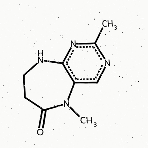 Cc1ncc2c(n1)NCCC(=O)N2C